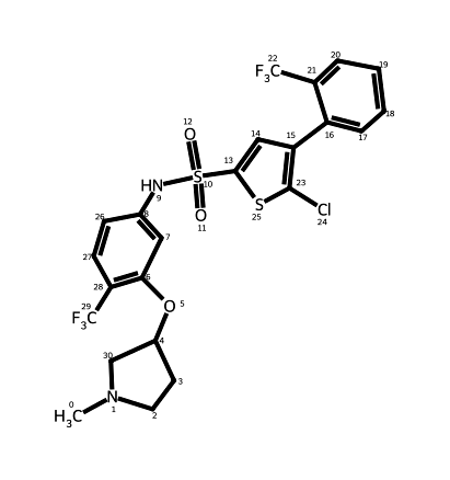 CN1CCC(Oc2cc(NS(=O)(=O)c3cc(-c4ccccc4C(F)(F)F)c(Cl)s3)ccc2C(F)(F)F)C1